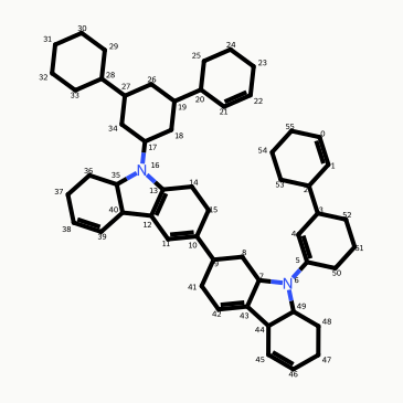 C1=CC(C2C=C(N3C4CC(C5=CC6=C(CC5)N(C5CC(C7C=CCCC7)CC(C7CCCCC7)C5)C5CCC=CC65)CC=C4C4C=CCCC43)CCC2)CCC1